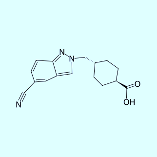 N#Cc1ccc2nn(C[C@H]3CC[C@H](C(=O)O)CC3)cc2c1